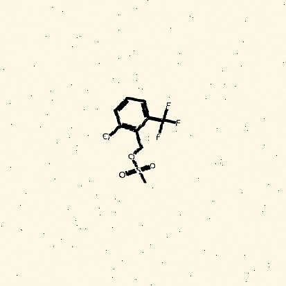 CS(=O)(=O)OCc1c(Cl)cccc1C(F)(F)F